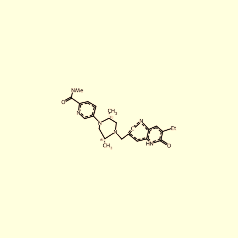 CCc1cc2ncc(CN3C[C@@H](C)N(c4ccc(C(=O)NC)nc4)C[C@H]3C)cc2[nH]c1=O